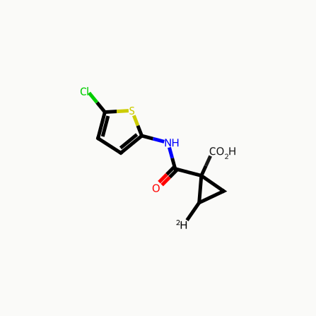 [2H]C1CC1(C(=O)O)C(=O)Nc1ccc(Cl)s1